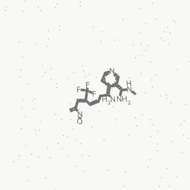 C=C(/C=C(\C=C/C/C(N)=c1\ccnc\c1=C(\N)NC)C(F)(F)F)N=O